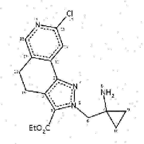 CCOC(=O)c1c2c(nn1CC1(N)CC1)-c1cc(Cl)ncc1CC2